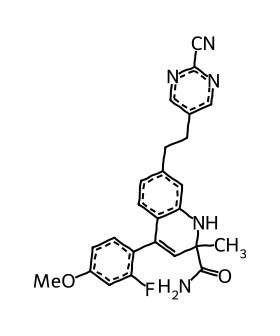 COc1ccc(C2=CC(C)(C(N)=O)Nc3cc(CCc4cnc(C#N)nc4)ccc32)c(F)c1